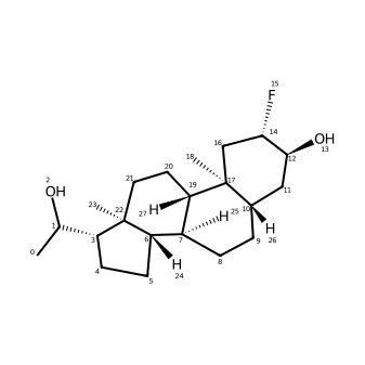 CC(O)[C@H]1CC[C@H]2[C@@H]3CC[C@H]4C[C@H](O)[C@@H](F)C[C@]4(C)[C@H]3CC[C@]12C